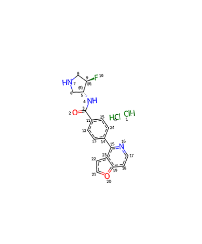 Cl.Cl.O=C(N[C@@H]1CNC[C@H]1F)c1ccc(-c2nccc3occc23)cc1